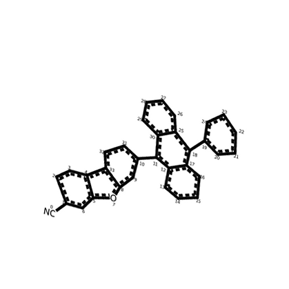 N#Cc1ccc2c(c1)oc1cc(-c3c4ccccc4c(-c4ccccc4)c4ccccc34)ccc12